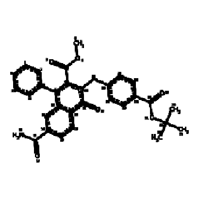 COC(=O)c1c(-c2ccccc2)c2cc(C(N)=O)ccc2c(=O)n1Cc1ccc(C(=O)OC(C)(C)C)cc1